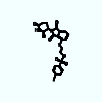 Cc1ccc(S(=O)(=O)OCCSc2cccc3c2C(=O)N(C2CCC(=O)NC2=O)C3=O)cc1